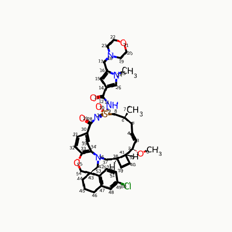 CO[C@H]1/C=C/C[C@H](C)CS(=O)(NC(=O)c2cc(CN3CCOCC3)n(C)c2)=NC(=O)c2ccc3c(c2)N(C[C@@H]2CC[C@H]21)C[C@@]1(CCCc2cc(Cl)ccc21)CO3